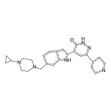 O=c1[nH]nc(-c2ccncc2)cc1-c1cc2ccc(CN3CCN(C4CC4)CC3)cc2[nH]1